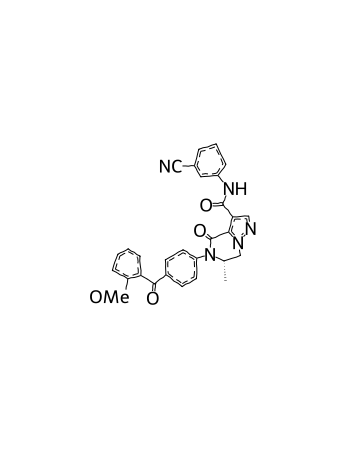 COc1ccccc1C(=O)c1ccc(N2C(=O)c3c(C(=O)Nc4cccc(C#N)c4)cnn3C[C@@H]2C)cc1